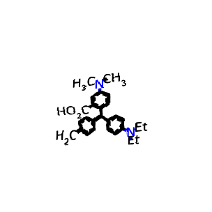 C=c1ccc(=C(c2ccc(N(CC)CC)cc2)c2ccc(N(C)C)cc2C(=O)O)cc1